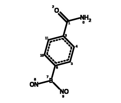 NC(=O)c1ccc(B(N=O)N=O)cc1